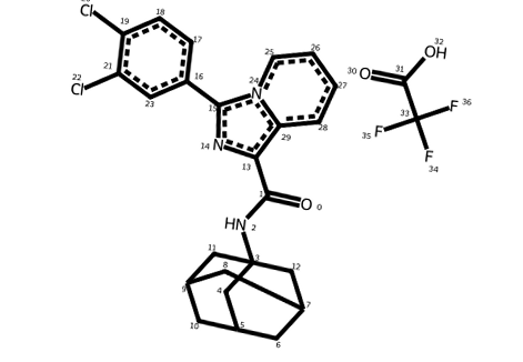 O=C(NC12CC3CC(CC(C3)C1)C2)c1nc(-c2ccc(Cl)c(Cl)c2)n2ccccc12.O=C(O)C(F)(F)F